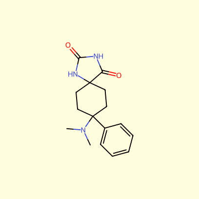 CN(C)C1(c2ccccc2)CCC2(CC1)NC(=O)NC2=O